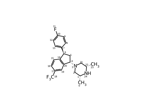 C[C@@H]1CN([C@H]2C[C@H](c3ccc(F)cc3)c3ccc(C(F)(F)F)cc32)C[C@H](C)N1